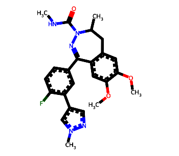 CNC(=O)N1N=C(c2ccc(F)c(-c3cnn(C)c3)c2)c2cc(OC)c(OC)cc2CC1C